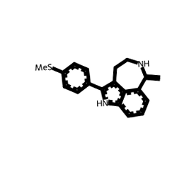 C=C1NCCc2c(-c3ccc(SC)cc3)[nH]c3cccc1c23